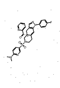 CN(C)c1ccc(S(=O)(=O)N2CCC3=Cc4c(cnn4-c4ccc(F)cc4)C[C@]3(C(=O)c3ccccn3)C2)cn1